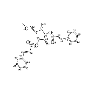 CO/N=C/[C@@H](F)[C@H](OC(=O)/C=C/c1ccccc1)[C@@H](Br)COC(=O)/C=C/c1ccccc1